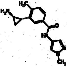 Cc1ccc(C(=O)Nc2cnn(C)c2)cc1[C@@H]1C[C@H]1N